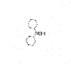 C1CCC(NC2CCCCC2)CC1.Cl